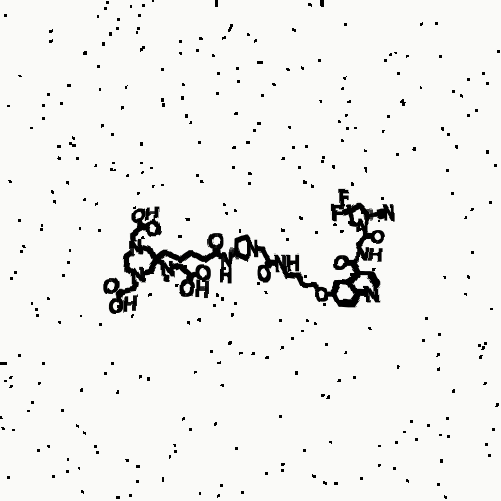 CN(CC(=O)O)C1(CCCCC(=O)N[C@H]2CCN(CC(=O)NCCCCOc3ccc4nccc(C(=O)NCC(=O)N5CC(F)(F)C[C@H]5C#N)c4c3)C2)CN(CC(=O)O)CCN(CC(=O)O)C1